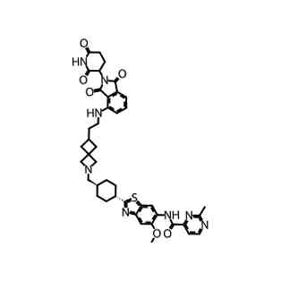 COc1cc2nc([C@H]3CC[C@H](CN4CC5(CC(CCNc6cccc7c6C(=O)N(C6CCC(=O)NC6=O)C7=O)C5)C4)CC3)sc2cc1NC(=O)c1ccnc(C)n1